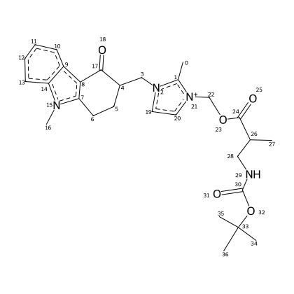 Cc1n(CC2CCc3c(c4ccccc4n3C)C2=O)cc[n+]1COC(=O)C(C)CNC(=O)OC(C)(C)C